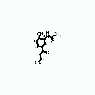 CC(=O)Nc1cc(C(=O)CCCl)ccc1C